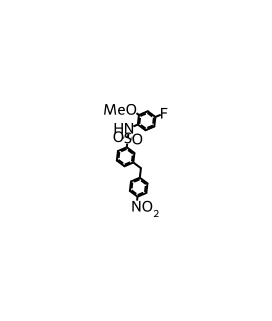 COc1cc(F)ccc1NS(=O)(=O)c1cccc(Cc2ccc([N+](=O)[O-])cc2)c1